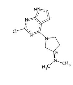 CN(C)[C@@H]1CCN(c2nc(Cl)nc3[nH]ccc23)C1